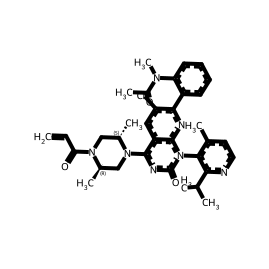 C=CC(=O)N1C[C@H](C)N(c2nc(=O)n(-c3c(C)ccnc3C(C)C)c3nc(-c4ccccc4N(C)C(C)=O)c(Cl)cc23)C[C@H]1C